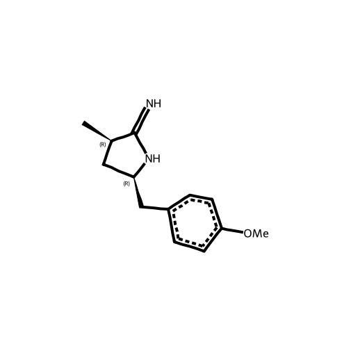 COc1ccc(C[C@H]2C[C@@H](C)C(=N)N2)cc1